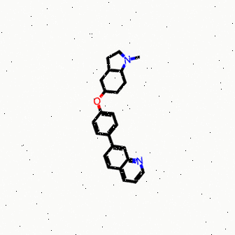 CN1CCC2CC(Oc3ccc(-c4ccc5cccnc5c4)cc3)CCC21